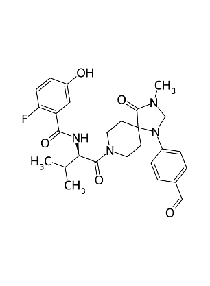 CC(C)[C@@H](NC(=O)c1cc(O)ccc1F)C(=O)N1CCC2(CC1)C(=O)N(C)CN2c1ccc(C=O)cc1